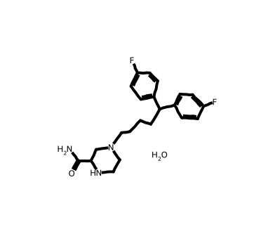 NC(=O)C1CN(CCCCC(c2ccc(F)cc2)c2ccc(F)cc2)CCN1.O